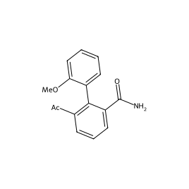 COc1ccccc1-c1c(C(C)=O)cccc1C(N)=O